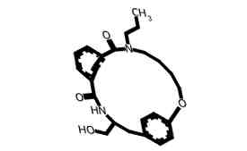 CCCN1CCCCOc2ccc(cc2)CC(CO)NC(=O)c2cccc(c2)C1=O